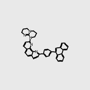 c1ccc2c(c1)cc(-c1ccc(-c3ccc4ccc5ccc(N6CCCN7CCCN=C76)nc5c4n3)cc1)c1ccccc12